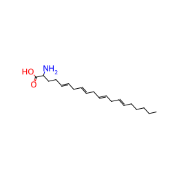 CCCCCC=CCC=CCC=CCC=CCCC(N)C(=O)O